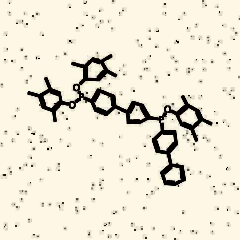 Cc1cc(C)c(OP(Oc2cc(C)c(C)cc2C)c2ccc(-c3ccc(P(Oc4cc(C)c(C)cc4C)c4ccc(-c5ccccc5)cc4)cc3)cc2)cc1C